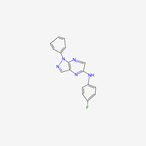 Fc1ccc(Nc2cnc3c(cnn3-c3ccccc3)n2)cc1